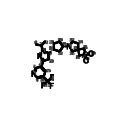 CC(C)n1nc(-c2cncc(C(F)(F)F)c2)cc1[C@@H]1CC[C@@H](N2CCC3(C2)CS(=O)(=O)C3)C1